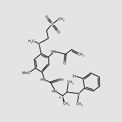 C=CC(=O)Nc1cc(NC(=N)N[C@H](C)C(C)N(C)c2ccccc2CC)c(OC)cc1N(C)CCS(C)(=O)=O